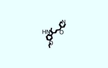 CCOc1ccc2[nH]c(C)c(C=CC(=O)c3ccncc3)c2c1